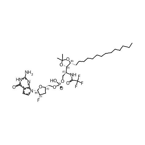 CCCCCCCCCCCCCC[C@H]1OC(C)(C)O[C@H]1[C@H](COP(=O)(O)OC[C@@H]1C[C@H](F)[C@H](n2ccc3c(=O)[nH]c(N)nc32)O1)NC(=O)C(F)(F)F